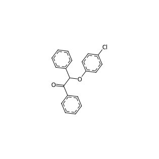 O=C(c1ccccc1)C(Oc1ccc(Cl)cc1)c1ccccc1